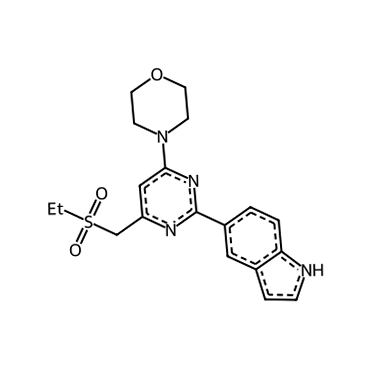 CCS(=O)(=O)Cc1cc(N2CCOCC2)nc(-c2ccc3[nH]ccc3c2)n1